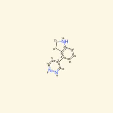 c1cc2c(c(-c3ccnnc3)c1)CCN2